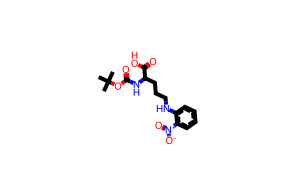 CC(C)(C)OC(=O)NC(CCCNc1ccccc1[N+](=O)[O-])C(=O)O